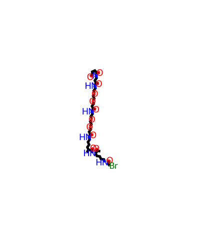 CC(=O)C(CCCCNC(=O)CBr)NC(=O)C(C)CCCCNC(=O)CCOCCOCCNC(=O)CCOCCOCCNC(=O)CCN1C(=O)C=CC1=O